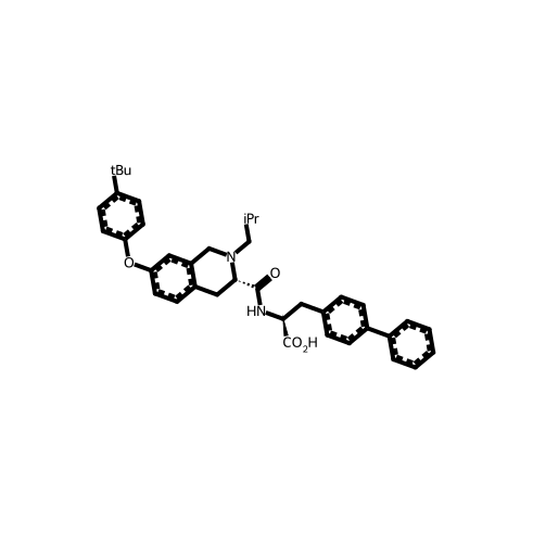 CC(C)CN1Cc2cc(Oc3ccc(C(C)(C)C)cc3)ccc2C[C@H]1C(=O)N[C@@H](Cc1ccc(-c2ccccc2)cc1)C(=O)O